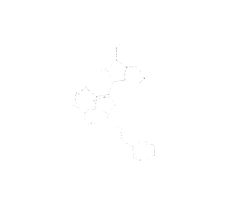 COc1ncnc2c(C3NC(CO)C4OC(C)(C)OC34)cn(COCc3ccccc3)c12